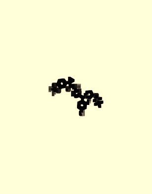 CC(C)(C)[Si](C)(C)O[C@H]1CCN(C(c2cnc(NC(=O)C3(c4ccc5c(c4)OC(F)(F)O5)CC3)s2)c2ccc(Cl)cc2F)C1